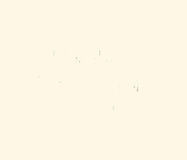 CC1CCN(C(=O)c2cc(C3CC3)c(OCC3(F)CCN(C(C)c4cc(Cl)cc(Cl)c4)CC3)cc2F)C1